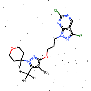 [2H]C([2H])([2H])c1c([N+](=O)[O-])c(OCCCn2nc(Cl)c3cnc(Cl)nc32)nn1C1([2H])CCOCC1